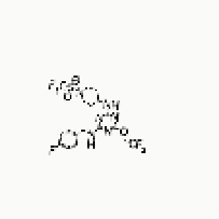 O=S(=O)(N1CCC(Nc2nc(NCc3ccc(F)cc3)nc(OCC(F)(F)F)n2)CC1)C(F)(F)F